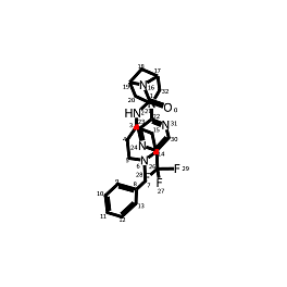 O=C(NC1CCN(Cc2ccccc2)CC1)N1C2CC1CN(c1cnc(C(F)(F)F)cn1)C2